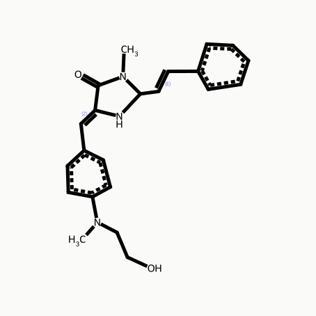 CN(CCO)c1ccc(/C=C2\NC(/C=C/c3ccccc3)N(C)C2=O)cc1